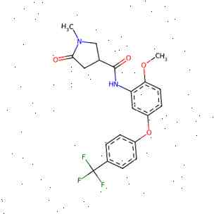 COc1ccc(Oc2ccc(C(F)(F)F)cc2)cc1NC(=O)C1CC(=O)N(C)C1